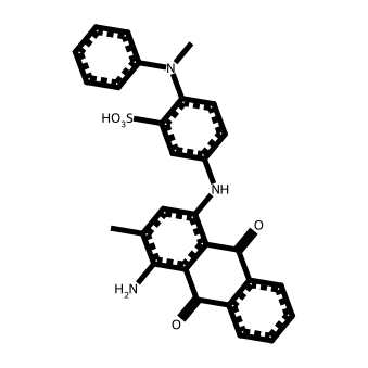 Cc1cc(Nc2ccc(N(C)c3ccccc3)c(S(=O)(=O)O)c2)c2c(c1N)C(=O)c1ccccc1C2=O